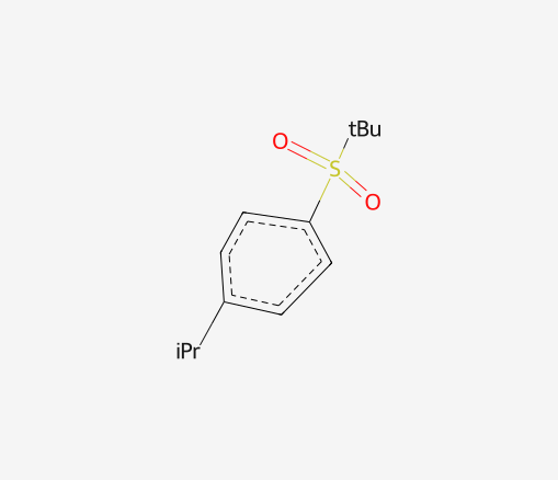 CC(C)c1ccc(S(=O)(=O)C(C)(C)C)cc1